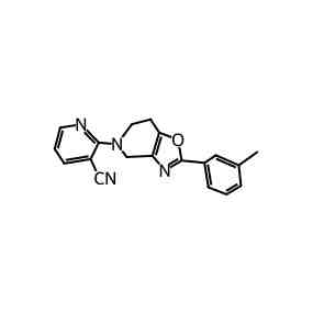 Cc1cccc(-c2nc3c(o2)CCN(c2ncccc2C#N)C3)c1